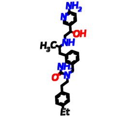 CCc1ccc(CCN(Cc2cccc(C[C@@H](C)NC[C@H](O)c3ccc(N)nc3)c2)C(N)=O)cc1